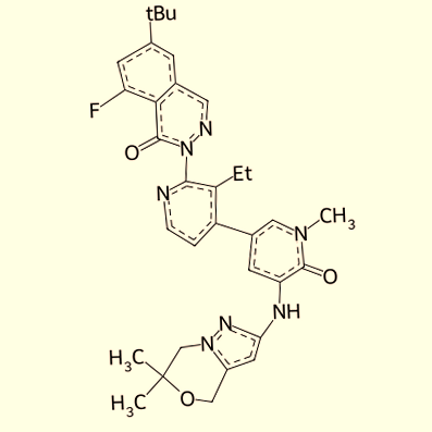 CCc1c(-c2cc(Nc3cc4n(n3)CC(C)(C)OC4)c(=O)n(C)c2)ccnc1-n1ncc2cc(C(C)(C)C)cc(F)c2c1=O